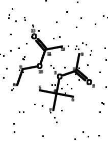 CC(=O)OC(C)(C)C.CCOC(C)=O